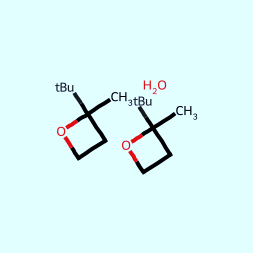 CC(C)(C)C1(C)CCO1.CC(C)(C)C1(C)CCO1.O